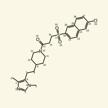 Cc1ncn(C)c1CCC1CCN(C(=O)CCS(=O)(=O)c2ccc3cc(Cl)ccc3c2)CC1